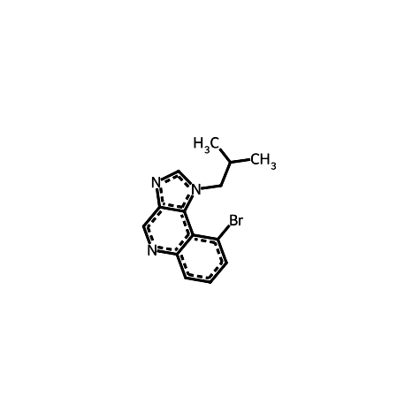 CC(C)Cn1cnc2cnc3cccc(Br)c3c21